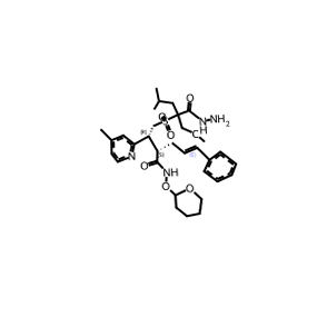 CCCC(CC(C)C)(C(=O)NN)S(=O)(=O)C[C@@H](c1cc(C)ccn1)[C@H](C/C=C/c1ccccc1)C(=O)NOC1CCCCO1